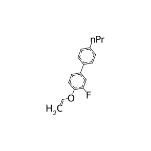 C=COc1ccc(-c2ccc(CCC)cc2)cc1F